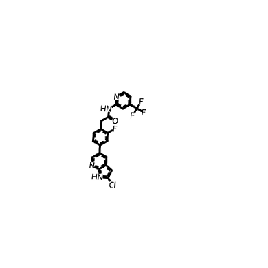 O=C(Cc1ccc(-c2cnc3[nH]c(Cl)cc3c2)cc1F)Nc1cc(C(F)(F)F)ccn1